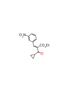 CCOC(=O)/C(=C\c1cccc([N+](=O)[O-])c1)C(=O)C1CC1